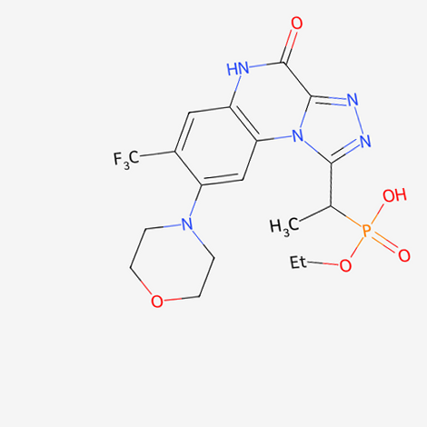 CCOP(=O)(O)C(C)c1nnc2c(=O)[nH]c3cc(C(F)(F)F)c(N4CCOCC4)cc3n12